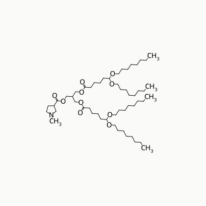 CCCCCCCCOC(CCCCC(=O)OCC(COC(=O)CCCCC(OCCCCCCCC)OCCCCCCCC)COC(=O)C1CCN(C)C1)OCCCCCCCC